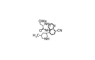 COC[C@H](N)C(=O)N[C@]1(c2ccc(C#N)c3ncccc23)CNC[C@@H](C)C1